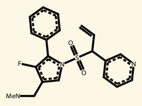 C=CC(c1cccnc1)S(=O)(=O)n1cc(CNC)c(F)c1-c1ccccc1